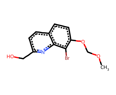 COCOc1ccc2ccc(CO)nc2c1Br